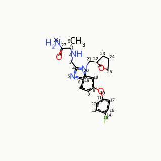 C[C@H](NCc1nc2ccc(Oc3ccc(F)cc3)cc2n1C[C@H]1CCCO1)C(N)=O